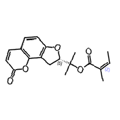 C/C=C(/C)C(=O)OC(C)(C)[C@@H]1Cc2c(ccc3ccc(=O)oc23)O1